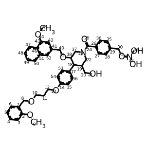 COc1ccccc1COCCCOc1ccc(C2C(CO)CN(C(=O)c3ccc(CON(O)O)cc3)CC2OCc2cc(OC)c3ccccc3c2)cc1